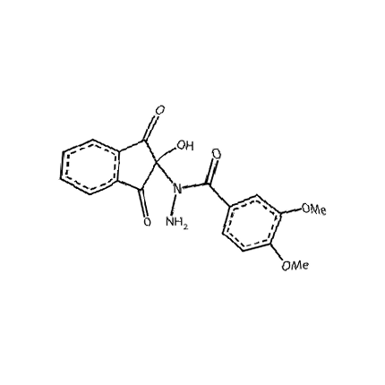 COc1ccc(C(=O)N(N)C2(O)C(=O)c3ccccc3C2=O)cc1OC